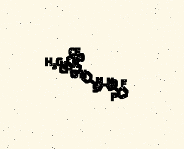 CN(C)c1cc(C(F)(F)F)c(=O)n(CC(=O)N2CCC(c3nc(C4=NOC(c5c(F)cccc5F)C4)cs3)CC2)c1